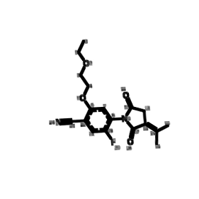 CCOCCOc1cc(N2C(=O)CC(=C(C)C)C2=O)c(F)cc1C#N